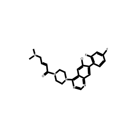 CN(C)CC=CC(=O)N1CCN(c2ncnc3cc(-c4ccc(F)cc4F)c(Cl)cc23)CC1